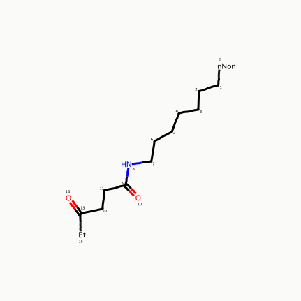 CCCCCCCCCCCCCCCCNC(=O)CCC(=O)CC